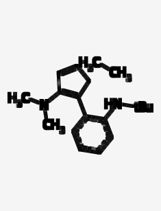 CC.CN(C)C1=C(c2ccccc2NC(C)(C)C)CC=C1